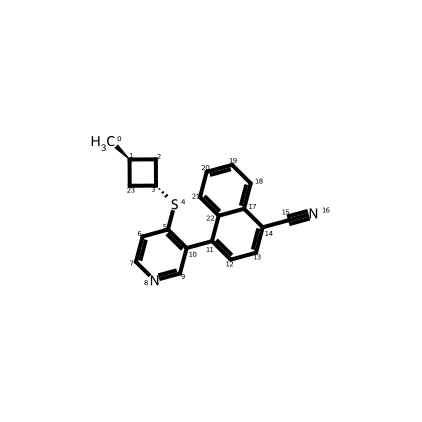 C[C@H]1C[C@H](Sc2ccncc2-c2ccc(C#N)c3ccccc23)C1